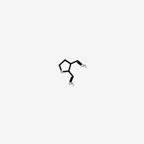 C=CC1CCOC1C=C